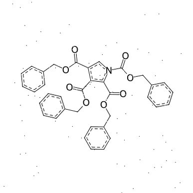 O=C(OCc1ccccc1)c1cn(C(=O)OCc2ccccc2)c(C(=O)OCc2ccccc2)c1C(=O)OCc1ccccc1